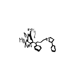 Nc1cc(C(CCCN2CCC(c3ccccc3)C2)c2ccccc2)c2nn[nH]c2n1